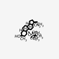 C/C=C1/CC[C@H]2[C@@H]3CC[C@@H]4C[C@](C)(O)CC[C@]4(CO[Si](C)(C)C(C)(C)C)[C@H]3CC[C@]12C